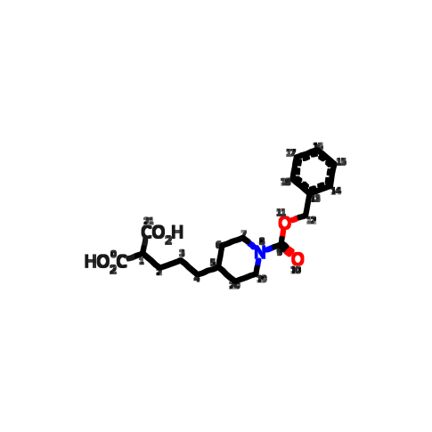 O=C(O)C(CCCC1CCN(C(=O)OCc2ccccc2)CC1)C(=O)O